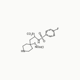 CCOC(=O)C(CC1(SN=O)CCNCC1)NS(=O)(=O)c1ccc(F)cc1.Cl